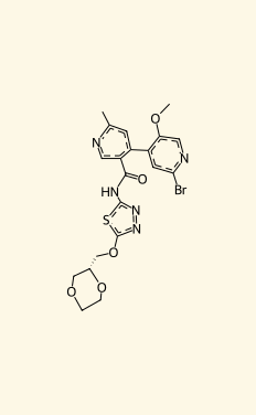 COc1cnc(Br)cc1-c1cc(C)ncc1C(=O)Nc1nnc(OC[C@H]2COCCO2)s1